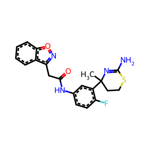 CC1(c2cc(NC(=O)Cc3noc4ccccc34)ccc2F)CCSC(N)=N1